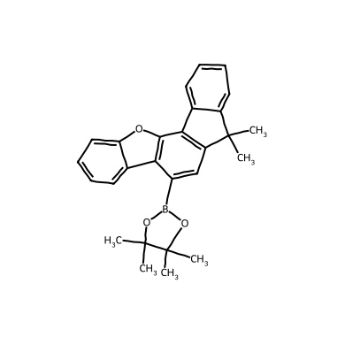 CC1(C)c2ccccc2-c2c1cc(B1OC(C)(C)C(C)(C)O1)c1c2oc2ccccc21